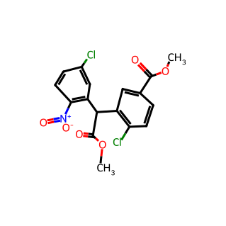 COC(=O)c1ccc(Cl)c(C(C(=O)OC)c2cc(Cl)ccc2[N+](=O)[O-])c1